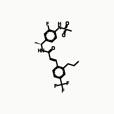 CCCc1cc(C(F)(F)F)ccc1/C=C/C(=O)N[C@H](C)c1ccc(NS(C)(=O)=O)c(F)c1